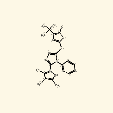 Cc1[nH]c(-c2nnc(Sc3nc(C(C)(C)C)c(Br)s3)n2-c2ccccc2)c(C)c1C